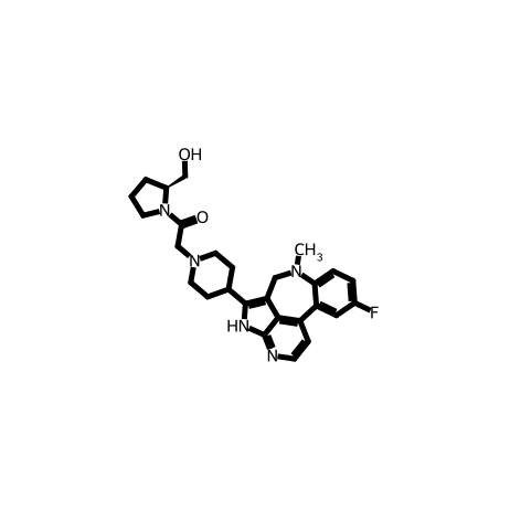 CN1Cc2c(C3CCN(CC(=O)N4CCC[C@H]4CO)CC3)[nH]c3nccc(c23)-c2cc(F)ccc21